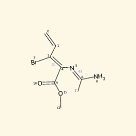 C=C/C(Br)=C(\N=C(/C)N)C(=O)OC